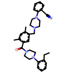 CCc1ccccc1N1CCN(C(=O)c2cc(CN3CCN(c4ccccc4C#N)CC3)c(C)cc2C)CC1